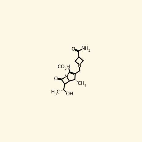 C[C@@H](O)C1C(=O)N2C(C(=O)O)=C(CN3CC(C(N)=O)C3)[C@H](C)C12